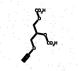 C#COCC(COC(=O)O)OC(=O)O